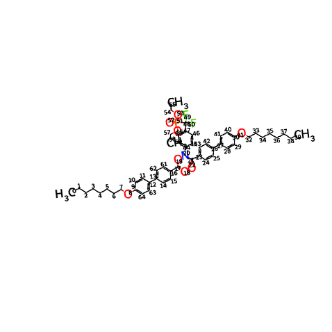 CCCCCCCCOc1ccc(-c2ccc(C(=O)ON(C(=O)c3ccc(-c4ccc(OCCCCCCCC)cc4)cc3)c3ccc(C(F)(F)P(=O)(OCC)OCC)cc3)cc2)cc1